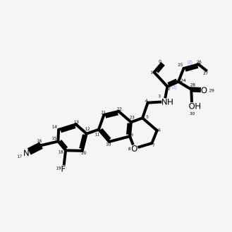 C=C/C(NCC1CCOc2cc(-c3ccc(C#N)c(F)c3)ccc21)=C(\C=C/C)C(=O)O